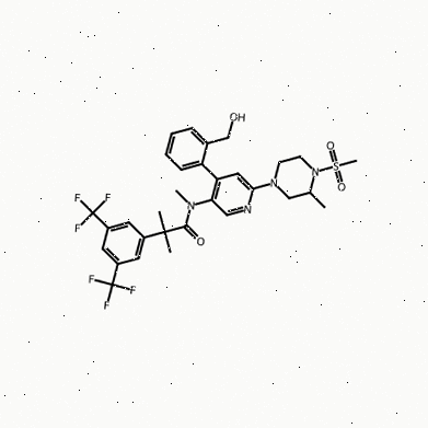 CC1CN(c2cc(-c3ccccc3CO)c(N(C)C(=O)C(C)(C)c3cc(C(F)(F)F)cc(C(F)(F)F)c3)cn2)CCN1S(C)(=O)=O